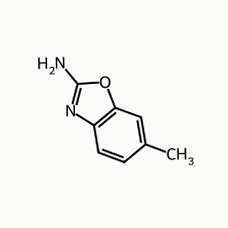 Cc1ccc2nc(N)oc2c1